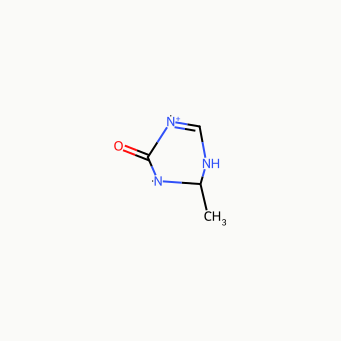 CC1[N]C(=O)[N+]=CN1